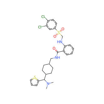 CN(C)C(c1cccs1)C1CCC(CNC(=O)c2ccccc2NCS(=O)(=O)c2ccc(Cl)c(Cl)c2)CC1